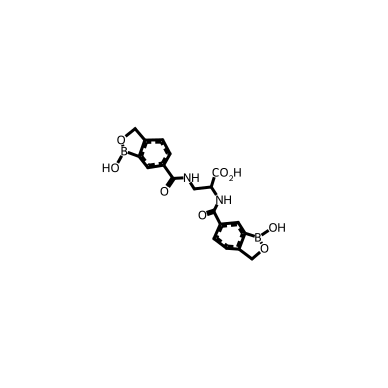 O=C(NCC(NC(=O)c1ccc2c(c1)B(O)OC2)C(=O)O)c1ccc2c(c1)B(O)OC2